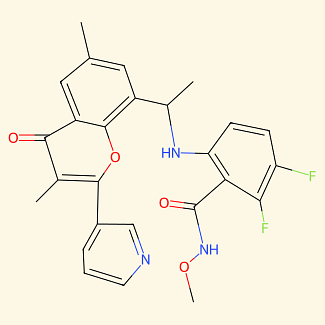 CONC(=O)c1c(NC(C)c2cc(C)cc3c(=O)c(C)c(-c4cccnc4)oc23)ccc(F)c1F